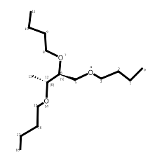 CCCCOC[C@H](OCCCC)[C@@H](C)OCCCC